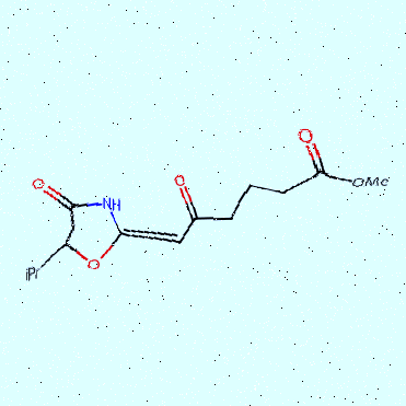 COC(=O)CCCC(=O)/C=C1\NC(=O)C(C(C)C)O1